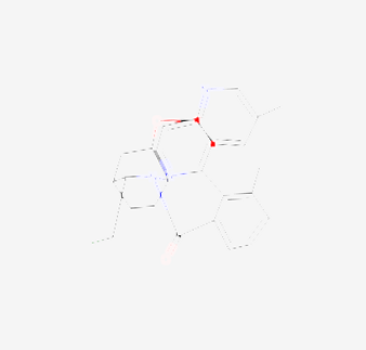 Cc1ccc(OC2CC3CCC2N(C(=O)c2cccc(C)c2-c2ccccn2)C3CF)nc1